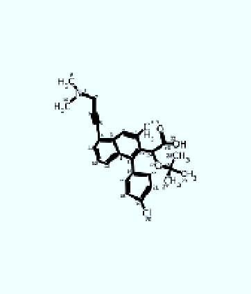 Cc1cc2c(C#CCN(C)C)cccc2c(-c2ccc(Cl)cc2)c1C(OC(C)(C)C)C(=O)O